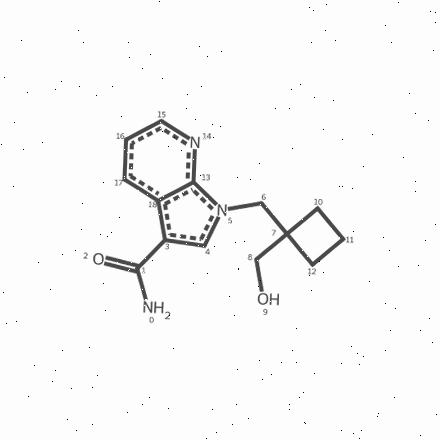 NC(=O)c1cn(CC2(CO)CCC2)c2ncccc12